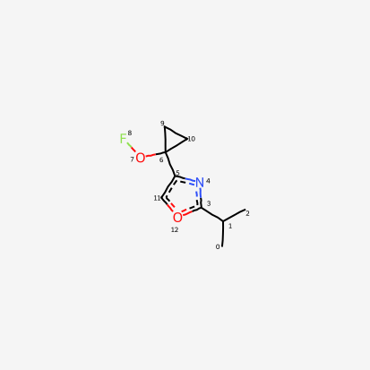 CC(C)c1nc(C2(OF)CC2)co1